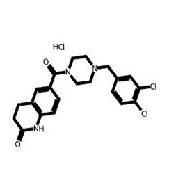 Cl.O=C1CCc2cc(C(=O)N3CCN(Cc4ccc(Cl)c(Cl)c4)CC3)ccc2N1